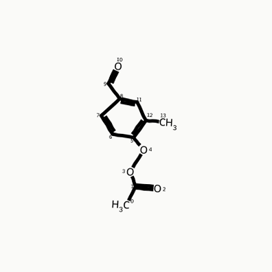 CC(=O)OOc1ccc(C=O)cc1C